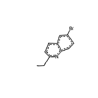 CCc1ccc2cc(Br)ccc2n1